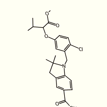 COC(=O)C(Oc1ccc(Cl)c(CN2c3ccc(C(=O)O)cc3CC2(C)C)c1)C(C)C